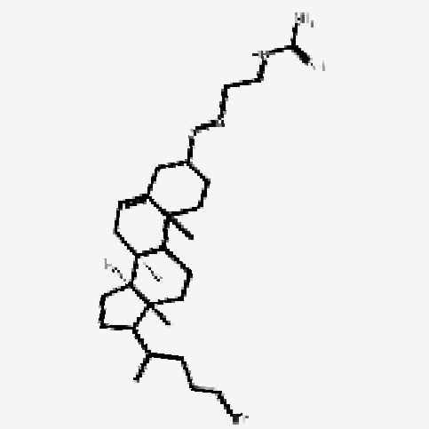 CC(C)CCCC(C)C1CC[C@@H]2C1(C)CCC1C3(C)CCC(SSCCNC(=N)N)CC3=CC[C@@]12C